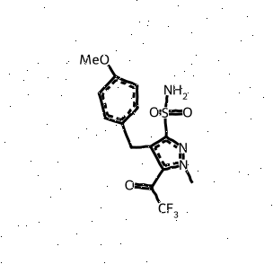 COc1ccc(Cc2c(S(N)(=O)=O)nn(C)c2C(=O)C(F)(F)F)cc1